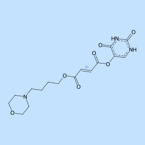 O=C(/C=C/C(=O)Oc1c[nH]c(=O)[nH]c1=O)OCCCCN1CCOCC1